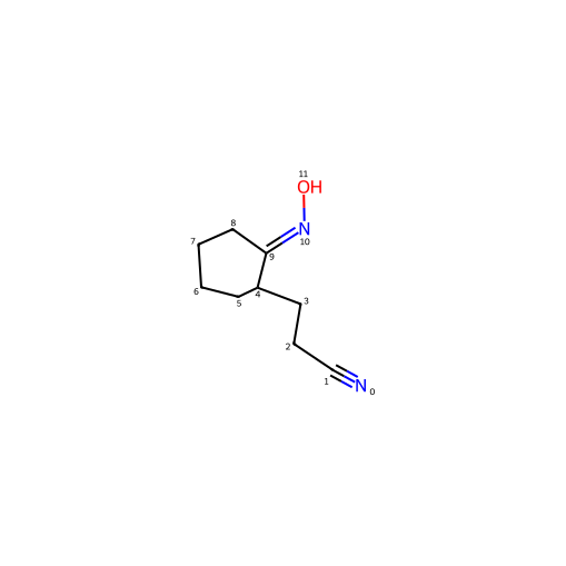 N#CCCC1CCCCC1=NO